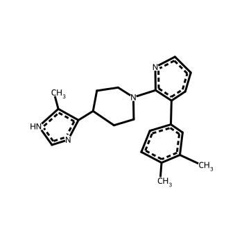 Cc1ccc(-c2cccnc2N2CCC(c3nc[nH]c3C)CC2)cc1C